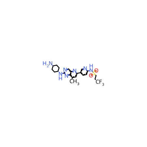 Cc1cc(-c2ccc(NS(=O)(=O)CCC(F)(F)F)nc2)nc2cnc(N[C@H]3CC[C@H](N)CC3)nc12